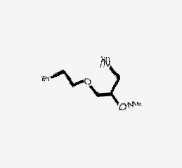 COC(CO)COCCC(C)C